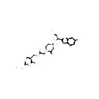 C=CC(c1cc2ccc(Cl)cc2s1)S(=O)(=O)N1CCN(CC(=O)NCc2cnc(C)nc2N)C(=O)C1